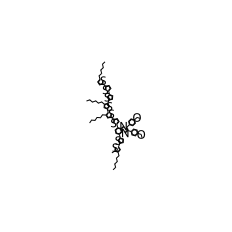 CCCCCCc1ccc(-c2ccc(-c3ccc(-c4sc(-c5sc(-c6ccc(-c7ccc(-c8ccc(-c9cc(CCCCCC)c(C)s9)s8)c8nc(-c9ccc(OC)cc9)c(-c9ccc(OC)cc9)nc78)s6)cc5CCCCCC)cc4CCCCCC)s3)s2)s1